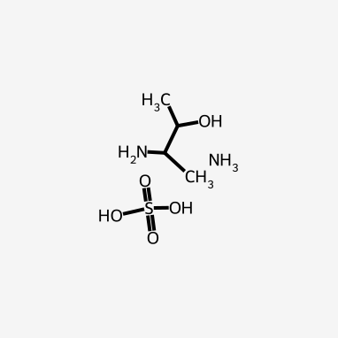 CC(N)C(C)O.N.O=S(=O)(O)O